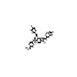 Nc1ccc(CS(=O)(=O)c2ccc(C(=O)NCc3ccn4ccnc4c3)cc2C#Cc2ccc(F)cc2)cc1